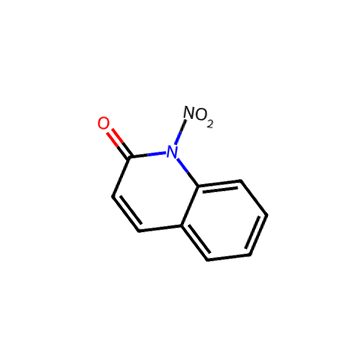 O=c1ccc2ccccc2n1[N+](=O)[O-]